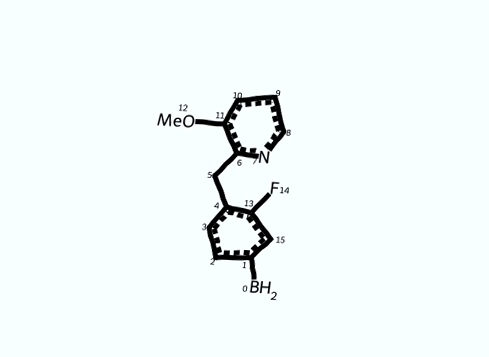 Bc1ccc(Cc2ncccc2OC)c(F)c1